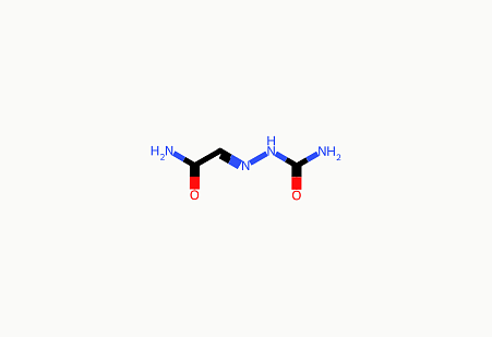 NC(=O)C=NNC(N)=O